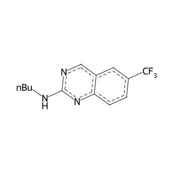 CCCCNc1ncc2cc(C(F)(F)F)ccc2n1